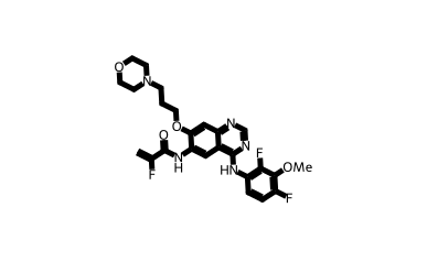 C=C(F)C(=O)Nc1cc2c(Nc3ccc(F)c(OC)c3F)ncnc2cc1OCCCN1CCOCC1